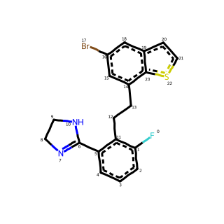 Fc1cccc(C2=NCCN2)c1CCc1cc(Br)cc2ccsc12